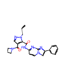 C=CCn1ncc(C(=O)N2CCC2)c1C(=O)Nc1ccn2cc(-c3ccccc3)nc2n1